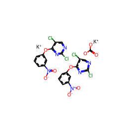 O=C([O-])[O-].O=[N+]([O-])c1cccc(Oc2nc(Cl)ncc2Cl)c1.O=[N+]([O-])c1cccc(Oc2nc(Cl)ncc2Cl)c1.[K+].[K+]